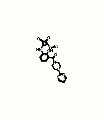 CCOc1c(Nc2cccc(C(=O)N3CCN(c4ncccn4)CC3)c2O)c(=O)c1=O